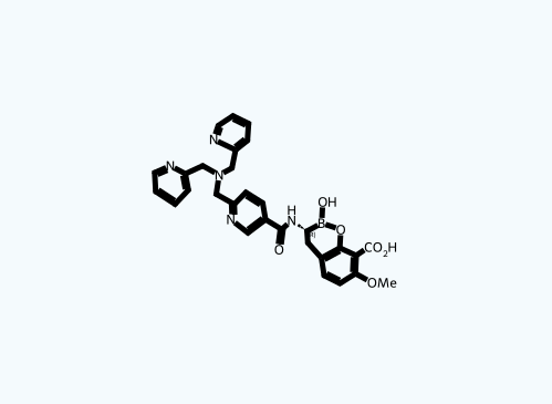 COc1ccc2c(c1C(=O)O)OB(O)[C@@H](NC(=O)c1ccc(CN(Cc3ccccn3)Cc3ccccn3)nc1)C2